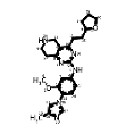 COc1cc(Nc2nc3c(c(CCC4CCCO4)n2)CNCC3)ccc1-n1cnc(C)c1